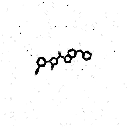 N#Cc1cccc(N2CC(C(=O)N3CCc4cc(Cc5cncnc5)ccc43)CC2=O)c1